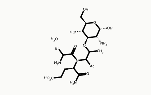 CCC(N)C(=O)N(C(C(C)=O)C(C)O[C@@H]1[C@@H](N)[C@@H](O)O[C@H](CO)[C@H]1O)[C@H](CCC(=O)O)C(N)=O.O